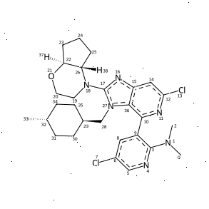 CN(C)c1ncc(Cl)cc1-c1nc(Cl)cc2nc(N3CCO[C@H]4CCC[C@@H]43)n(C[C@H]3CC[C@H](C)CC3)c12